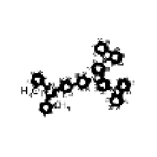 Cc1ccccc1-c1cc(-c2ccc(-c3ccc(-n4c5ccc(-n6c7ccccc7c7ccccc76)cc5c5cc(-n6c7ccccc7c7ccccc76)ccc54)cc3)cc2)nc(-c2ccccc2C)n1